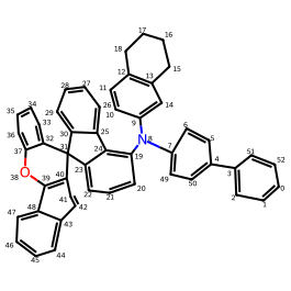 c1ccc(-c2ccc(N(c3ccc4c(c3)CCCC4)c3cccc4c3-c3ccccc3C43c4ccccc4Oc4c3ccc3ccccc43)cc2)cc1